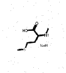 CNC(CCSC)C(=O)O.[NaH]